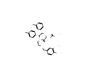 CC[C@@H](COCc1ccc(C)c(OC)c1)N1C(=O)[C@@H](CC(=O)OC(C)(C)C)O[C@H](c2cccc(Cl)c2)[C@H]1c1ccc(Cl)cc1